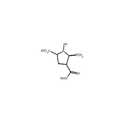 CCCN1C(C(=O)O)CC(C(=O)OC)C1C